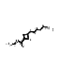 CCOC(=O)C1CC(CCCCCN)C1